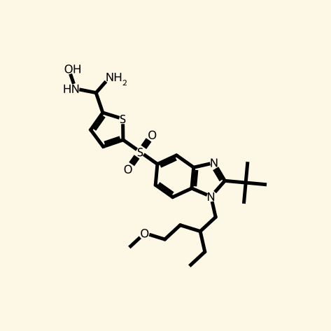 CCC(CCOC)Cn1c(C(C)(C)C)nc2cc(S(=O)(=O)c3ccc(C(N)NO)s3)ccc21